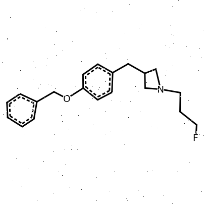 FCCCN1CC(Cc2ccc(OCc3ccccc3)cc2)C1